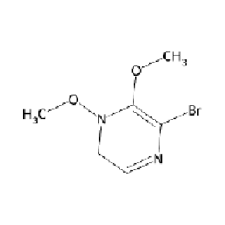 COC1=C(Br)N=CCN1OC